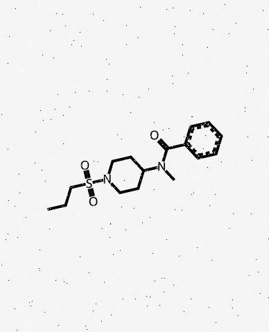 CCCS(=O)(=O)N1CCC(N(C)C(=O)c2ccccc2)CC1